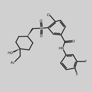 CC(=O)C[C@]1(O)CC[C@@H](CS(=O)(=O)c2cc(C(=O)Nc3ccc(F)c(F)c3)ccc2Cl)CC1